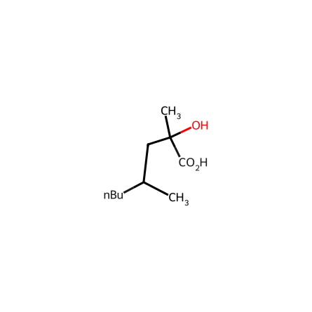 CCCCC(C)CC(C)(O)C(=O)O